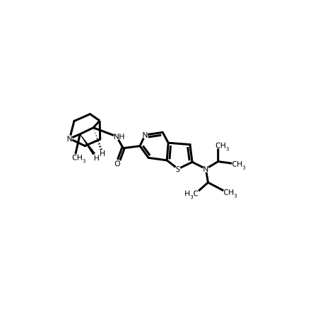 CC(C)N(c1cc2cnc(C(=O)N[C@@H]3C4CCN(CC4)[C@H]3C)cc2s1)C(C)C